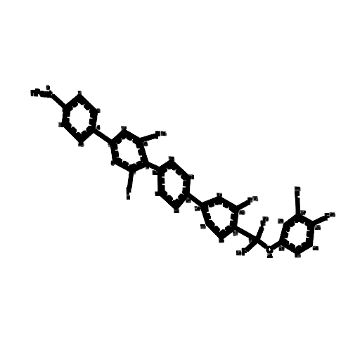 CCCCCc1ccc(-c2cc(F)c(-c3ccc(-c4ccc(C(F)(F)Oc5ccc(F)c(F)c5)c(F)c4)cc3)c(F)c2)cc1